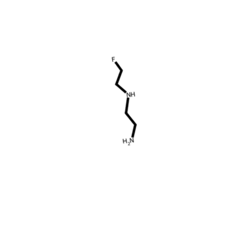 NCCNCCF